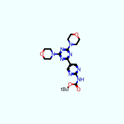 CC(C)(C)OC(=O)Nc1ncc(-c2nc(N3CCOCC3)nc(N3CCOCC3)n2)cn1